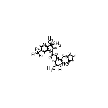 CCC(F)(F)c1cnc2c(c1)N(C(=O)CN1C[C@@H](C)NC[C@@H]1CN1CCCC1O)CC2(C)C